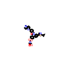 Cn1ccc2nc([C@H]3CC[C@H](CN(c4cccc(-c5cnc(C6CC6)s5)c4)C(=O)[C@H]4CC[C@H](OC(=O)N5CC(O)C5)CC4)CC3)ccc21